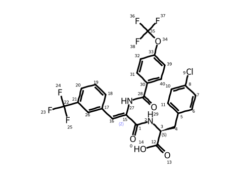 O=C(N[C@@H](Cc1ccc(Cl)cc1)C(=O)O)/C(=C/c1cccc(C(F)(F)F)c1)NC(=O)c1ccc(OC(F)(F)F)cc1